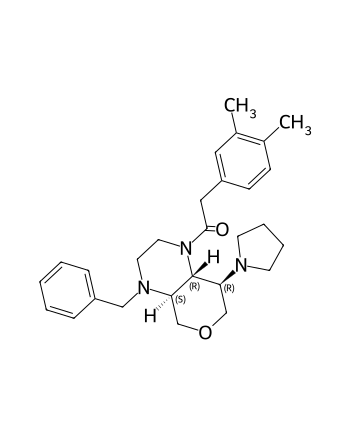 Cc1ccc(CC(=O)N2CCN(Cc3ccccc3)[C@@H]3COC[C@H](N4CCCC4)[C@H]32)cc1C